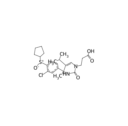 CC(C)C1=CN(CCC(=O)O)C(=O)N[C@@]1(C)c1ccc([S+]([O-])C2CCCC2)c(Cl)c1